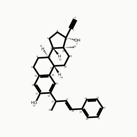 C#C[C@]1(O)CC[C@H]2[C@@H]3CCc4cc(O)c(C(C)C=Cc5ccccc5)cc4[C@H]3CC[C@@]21C